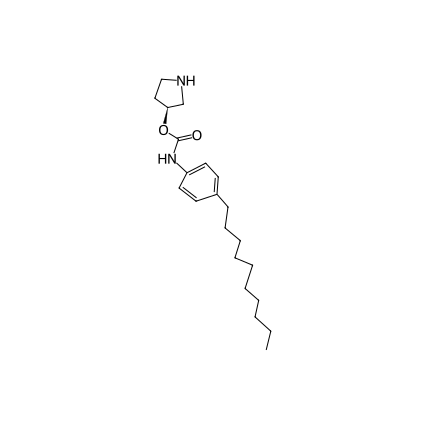 CCCCCCCCCCc1ccc(NC(=O)O[C@H]2CCNC2)cc1